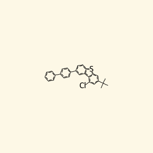 CC(C)(C)c1cc(Cl)c2c(c1)sc1ccc(-c3ccc(-c4ccccc4)cc3)cc12